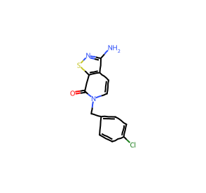 Nc1nsc2c(=O)n(Cc3ccc(Cl)cc3)ccc12